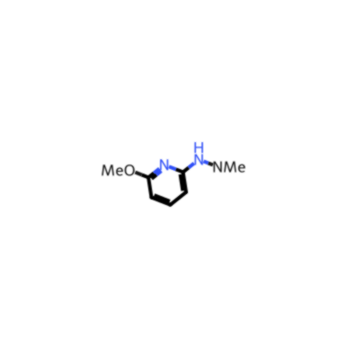 CNNc1cccc(OC)n1